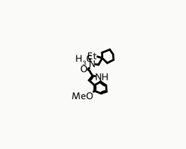 CCC1(CN(C)C(=O)c2cc3c(OC)cccc3[nH]2)CCCCC1